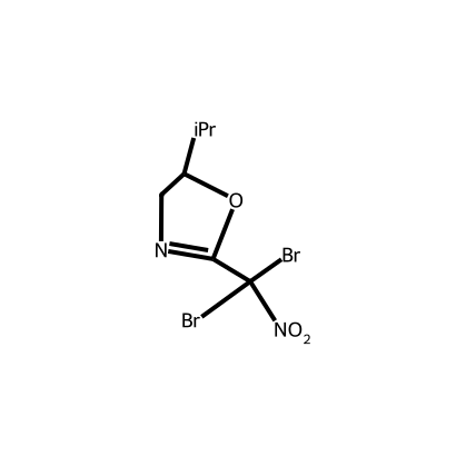 CC(C)C1CN=C(C(Br)(Br)[N+](=O)[O-])O1